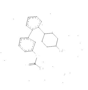 CCCC1CCC(c2ccccc2-c2cccc(OC(=O)CC)c2)CC1